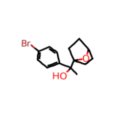 CC(O)(c1ccc(Br)cc1)C12CCC(CC1)O2